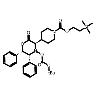 CC(C)(C)OC(=O)ON1[C@H](c2ccccc2)[C@H](c2ccccc2)OC(=O)[C@H]1C1CCN(C(=O)OCC[Si](C)(C)C)CC1